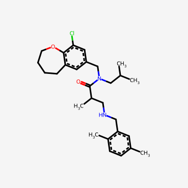 Cc1ccc(C)c(CNCC(C)C(=O)N(Cc2cc(Cl)c3c(c2)CCCCO3)CC(C)C)c1